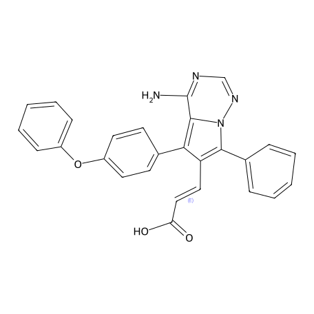 Nc1ncnn2c(-c3ccccc3)c(/C=C/C(=O)O)c(-c3ccc(Oc4ccccc4)cc3)c12